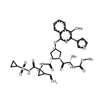 C=CC1C[C@]1(NC(=O)[C@@H]1C[C@@H](Oc2nc(-c3ccoc3)c(OC)c3ccccc23)CN1C(=O)[C@@H](NC(=O)OC(C)(C)C)C(C)(C)C)C(=O)NS(=O)(=O)C1CC1